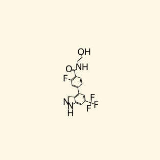 O=C(NCCO)c1ccc(-c2cc(C(F)(F)F)cc3[nH]ncc23)cc1F